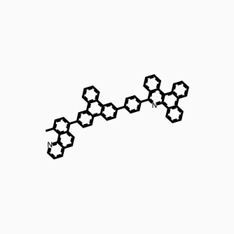 Cc1ccc(-c2ccc3c4ccc(-c5ccc(-c6nc7c8ccccc8c8ccccc8c7c7ccccc67)cc5)cc4c4ccccc4c3c2)c2ccc3cccnc3c12